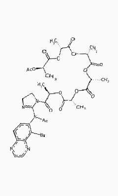 CC(=O)O[C@H](C)C(=O)O[C@H](C)C(=O)O[C@H](C)C(=O)O[C@H](C)C(=O)O[C@H](C)C(=O)O[C@H](C)C(=O)N1CCN=C1N(C(C)=O)c1ccc2nccnc2c1Br